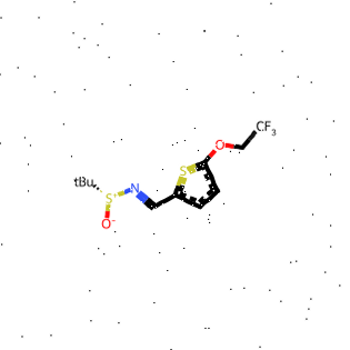 CC(C)(C)[S@@+]([O-])N=Cc1ccc(OCC(F)(F)F)s1